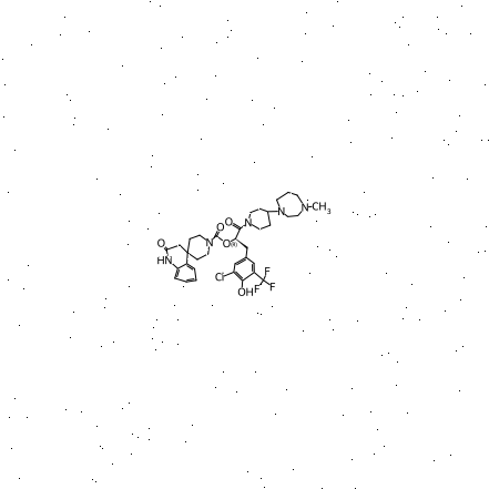 CN1CCCN(C2CCN(C(=O)[C@@H](Cc3cc(Cl)c(O)c(C(F)(F)F)c3)OC(=O)N3CCC4(CC3)CC(=O)Nc3ccccc34)CC2)CC1